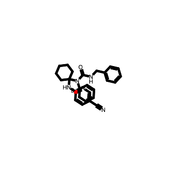 N#Cc1ccc(NC2(N(C(=O)NCc3ccccc3)C3(Br)C=CC=CC3)CCCCC2)nc1